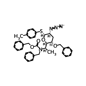 Cc1ccc(S[C@H]2O[C@H]([C@@H](C)N(Cc3ccccc3)C(=O)OCc3ccccc3)[C@@H](OCc3ccccc3)C[C@H]2N=[N+]=[N-])cc1